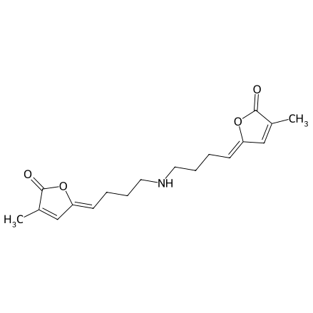 CC1=C/C(=C/CCCNCCC/C=C2/C=C(C)C(=O)O2)OC1=O